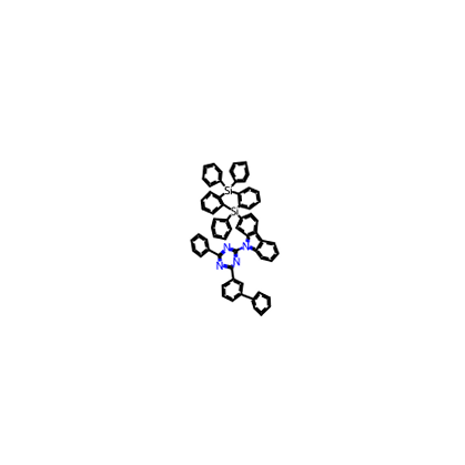 c1ccc(-c2cccc(-c3nc(-c4ccccc4)nc(-n4c5ccccc5c5ccc([Si]6(c7ccccc7)c7ccccc7[Si](c7ccccc7)(c7ccccc7)c7ccccc76)cc54)n3)c2)cc1